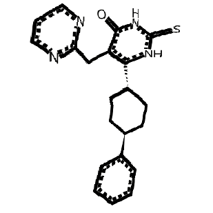 O=c1[nH]c(=S)[nH]c([C@H]2CC[C@H](c3ccccc3)CC2)c1Cc1ncccn1